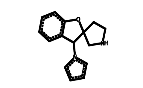 c1ccc2c(c1)OC1(CCNC1)C2n1cccc1